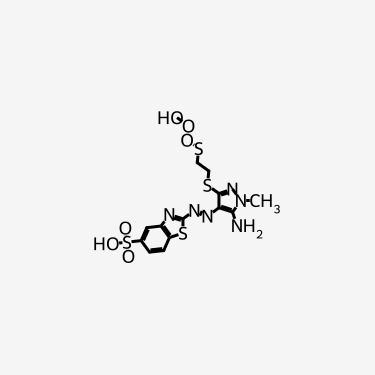 Cn1nc(SCCSOOO)c(N=Nc2nc3cc(S(=O)(=O)O)ccc3s2)c1N